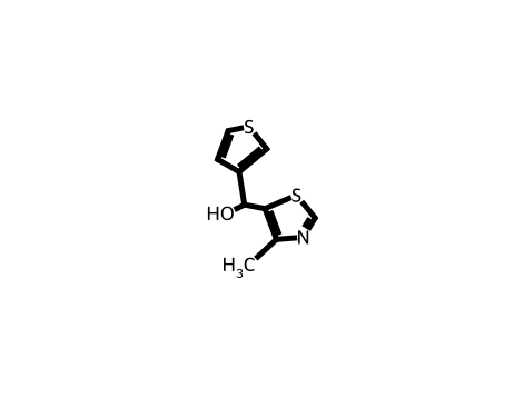 Cc1ncsc1C(O)c1ccsc1